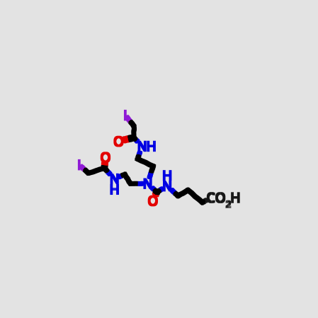 O=C(O)CCCNC(=O)N(CCNC(=O)CI)CCNC(=O)CI